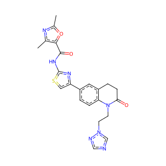 Cc1nc(C)c(C(=O)Nc2nc(-c3ccc4c(c3)CCC(=O)N4CCn3cncn3)cs2)o1